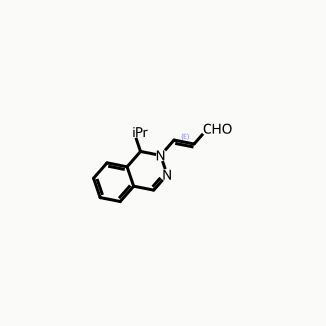 CC(C)C1c2ccccc2C=NN1/C=C/C=O